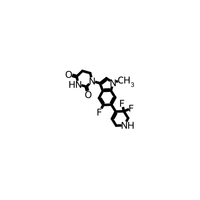 Cn1cc(N2CCC(=O)NC2=O)c2cc(F)c(C3=CCNCC3(F)F)cc21